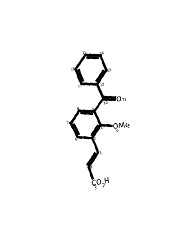 COc1c(C=CC(=O)O)cccc1C(=O)c1ccccc1